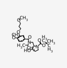 COCCCOc1cc(C(=O)N(CC2C(O)CCN2C(=O)OC(C)(C)C)C(C)C)ccc1OC